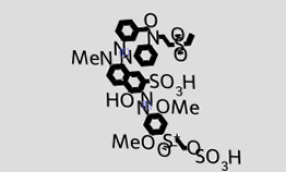 C=CS(=O)(=O)CCN(C(=O)c1cccc(/N=N/c2c(NC)ccc3c(O)c(/N=N/c4cc(OC)c([S+]([O-])CCOS(=O)(=O)O)cc4OC)c(S(=O)(=O)O)cc23)c1)c1ccccc1